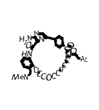 CNCc1cccc2c1OCCOCCOCCN(CCC(C)=O)S(=O)(=O)c1ccc(cc1)-c1cnc(N)c(n1)C(=O)N2